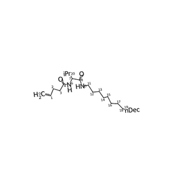 C=CCCC(=O)NC(C(=O)NCCCCCCCCCCCCCCCCCC)C(C)C